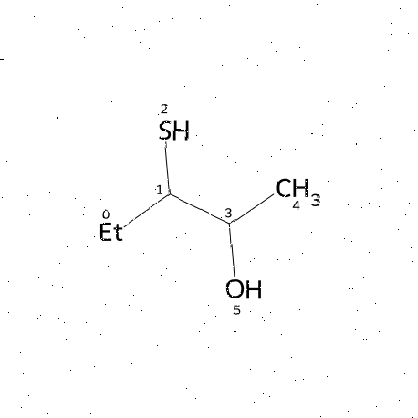 CCC(S)C(C)O